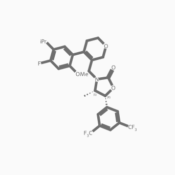 COc1cc(F)c(C(C)C)cc1C1=C(CN2C(=O)O[C@H](c3cc(C(F)(F)F)cc(C(F)(F)F)c3)[C@@H]2C)COCC1